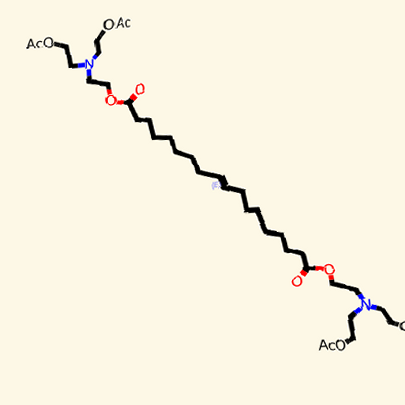 CC(=O)OCCN(CCOC(C)=O)CCOC(=O)CCCCCCC/C=C/CCCCCCCC(=O)OCCN(CCOC(C)=O)CCOC(C)=O